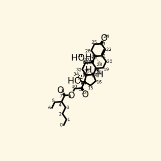 CCCCC(CC)C(=O)OCC(=O)[C@@]1(O)CC[C@H]2[C@@H]3CCC4=CC(=O)CC[C@]4(C)[C@H]3[C@@H](O)C[C@@]21C